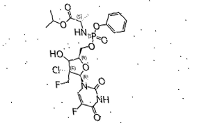 CC(C)OC(=O)[C@H](C)N[P@](=O)(OC[C@H]1O[C@@H](n2cc(F)c(=O)[nH]c2=O)[C@@](Cl)(CF)C1O)Oc1ccccc1